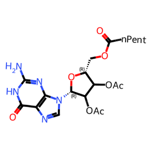 CCCCCC(=O)OC[C@H]1O[C@@H](n2cnc3c(=O)[nH]c(N)nc32)C(OC(C)=O)C1OC(C)=O